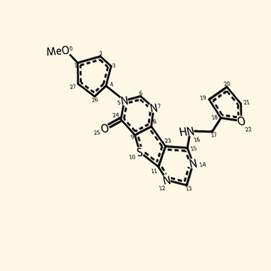 COc1ccc(-n2cnc3c(sc4ncnc(NCc5ccco5)c43)c2=O)cc1